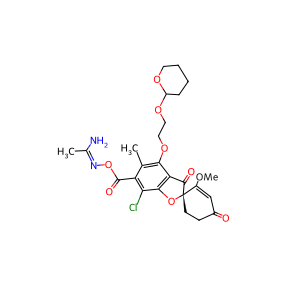 COC1=CC(=O)CC[C@]12Oc1c(Cl)c(C(=O)O/N=C(/C)N)c(C)c(OCCOC3CCCCO3)c1C2=O